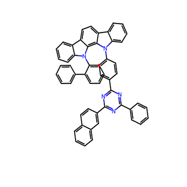 c1ccc(-c2nc(-c3ccc(-n4c5ccccc5c5ccc6c7ccccc7n(-c7ccccc7-c7ccccc7)c6c54)cc3)nc(-c3ccc4ccccc4c3)n2)cc1